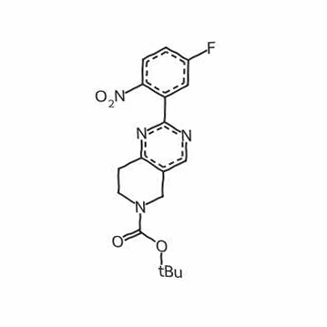 CC(C)(C)OC(=O)N1CCc2nc(-c3cc(F)ccc3[N+](=O)[O-])ncc2C1